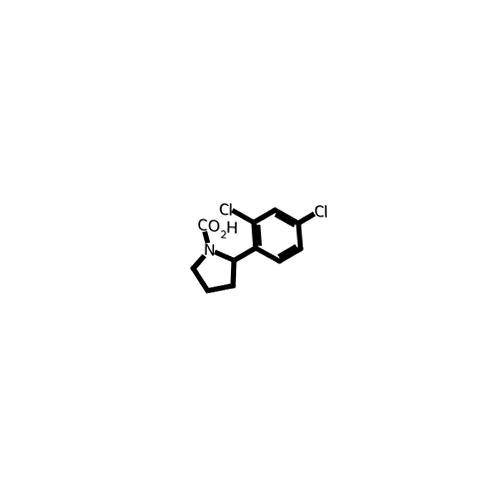 O=C(O)N1CCCC1c1ccc(Cl)cc1Cl